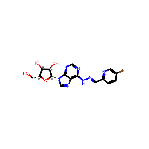 OC[C@H]1O[C@@H](n2cnc3c(NN=Cc4ccc(Br)cn4)ncnc32)[C@H](O)[C@@H]1O